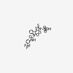 O=C(CN1C(=O)/C(=C2/SC(=S)N(CCS(=O)(=O)O)C2=O)c2ccccc21)Nc1cccc(C(F)(F)F)c1